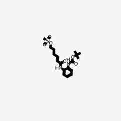 CC(C)(C)OC(=O)Nc1ccccc1NC(=O)C=CCCCOS(C)(=O)=O